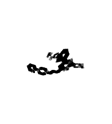 N#Cc1nc(CCCN2CCN(c3ccccn3)CC2)cc(-c2cccc(C(F)(F)F)c2)n1